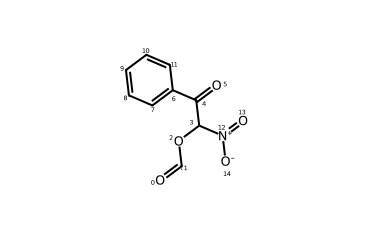 O=[C]OC(C(=O)c1ccccc1)[N+](=O)[O-]